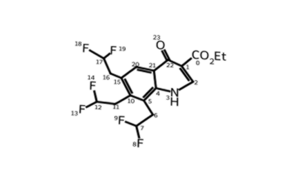 CCOC(=O)c1c[nH]c2c(CC(F)F)c(CC(F)F)c(CC(F)F)cc2c1=O